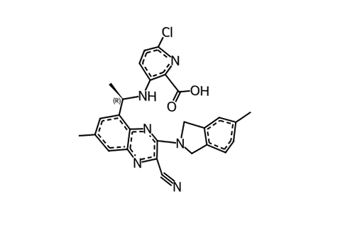 Cc1ccc2c(c1)CN(c1nc3c([C@@H](C)Nc4ccc(Cl)nc4C(=O)O)cc(C)cc3nc1C#N)C2